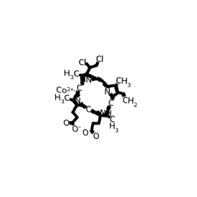 C=CC1=C(C)c2cc3[nH]c(cc4nc(cc5[nH]c(cc1n2)c(C)c5CCC(=O)[O-])C(CCC(=O)[O-])=C4C)c(C)c3C(Cl)CCl.[Co+2]